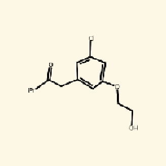 CC(C)C(=O)Cc1cc(Cl)cc(OCCO)c1